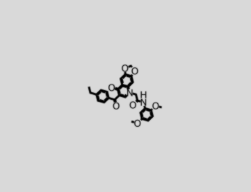 CCc1ccc(C(=O)c2cn(CC(=O)Nc3cc(OC)ccc3OC)c3cc4c(cc3c2=O)OCO4)cc1